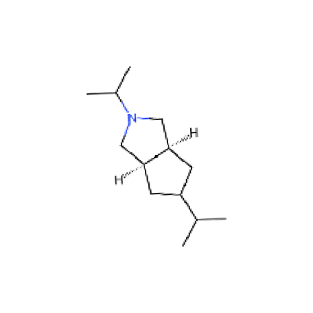 CC(C)C1C[C@@H]2CN(C(C)C)C[C@@H]2C1